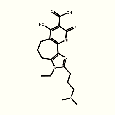 CCn1c(CCCN(C)C)nc2c1CCCc1c-2[nH]c(=O)c(C(=O)O)c1O